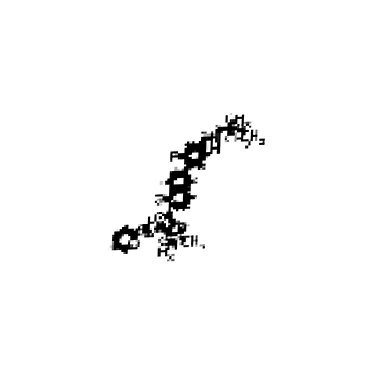 COC(C)(C)CNCc1ccc(-c2ccc3c(=O)n(CCC(C)(C(=O)NOC4CCCCO4)S(C)(=O)=O)ccc3c2)c(F)c1